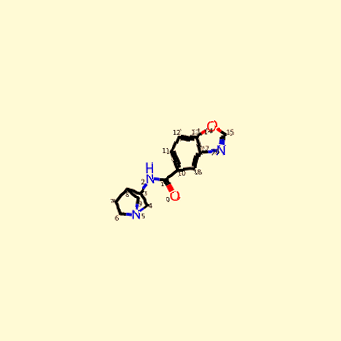 O=C(NC1CN2CCC1C2)c1ccc2ocnc2c1